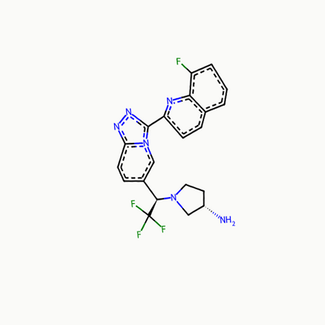 N[C@H]1CCN([C@H](c2ccc3nnc(-c4ccc5cccc(F)c5n4)n3c2)C(F)(F)F)C1